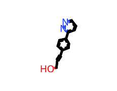 OCC#Cc1ccc(-c2cccnn2)cc1